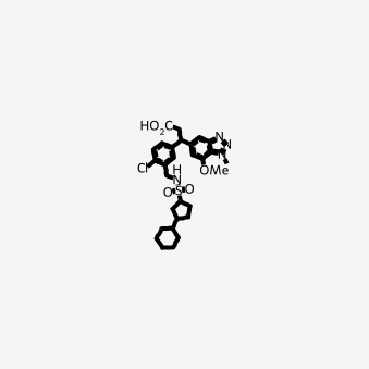 COc1cc(C(CC(=O)O)c2ccc(Cl)c(CNS(=O)(=O)C3CCC(C4CCCCC4)C3)c2)cc2nnn(C)c12